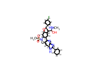 CNC(O)c1c(-c2ccc(F)cc2)oc2cc(N(C)S(C)(=O)=O)c(-c3ccc4[nH]c(-c5ccccc5)nc4n3)cc12